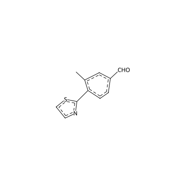 Cc1cc(C=O)ccc1-c1nccs1